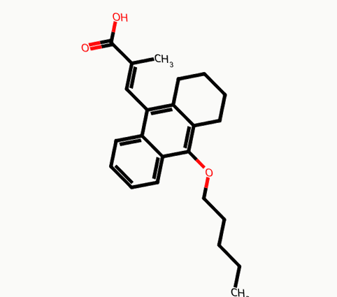 CCCCCOc1c2c(c(C=C(C)C(=O)O)c3ccccc13)CCCC2